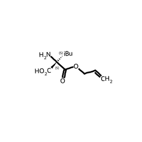 C=CCOC(=O)[C@@](N)(C(=O)O)[C@@H](C)CC